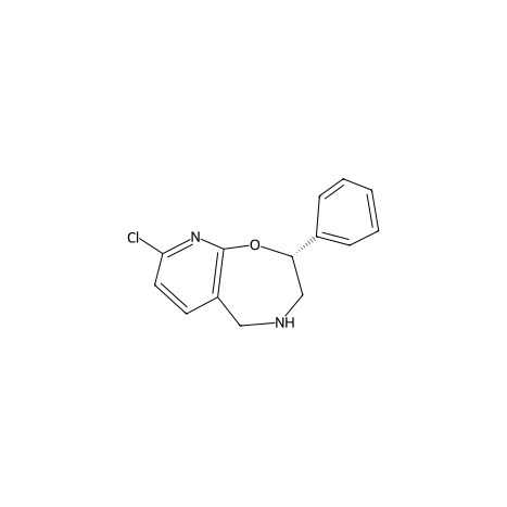 Clc1ccc2c(n1)O[C@H](c1ccccc1)CNC2